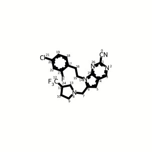 N#Cc1ncc2cc(CN3CCC(C(F)(F)F)C3)n(CCc3ccc(Cl)cc3F)c2n1